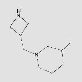 IC1CCCN(CC2CNC2)C1